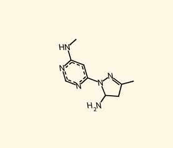 CNc1cc(N2N=C(C)CC2N)ncn1